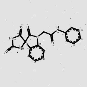 O=C(CN1C(=O)C2(NC(=O)NC2=O)c2ccccc21)Nc1cccnc1